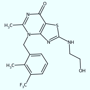 Cc1c(Cn2c(C)nc(=O)c3sc(NCCO)nc32)cccc1C(F)(F)F